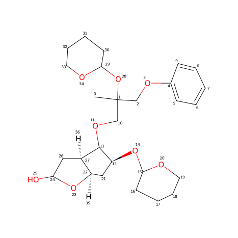 CC(COc1ccccc1)(COC1[C@@H](OC2CCCCO2)C[C@H]2OC(O)C[C@@H]12)OC1CCCCO1